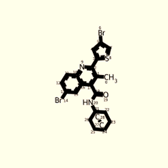 Cc1c(-c2cc(Br)cs2)nc2ccc(Br)cc2c1C(=O)NC12CCC(CC1)CC2